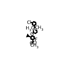 COC(=O)c1cc(C2CC2)c(O[C@@H]2CCCN(C(C)(C)c3cccc(Cl)c3)C2)cc1F